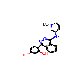 CN1CCC[C@@H](Nc2nnc(-c3ccc(O)cc3O)c3ccccc23)C1